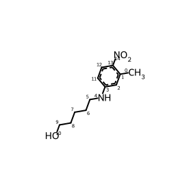 Cc1cc(NCCCCCO)ccc1[N+](=O)[O-]